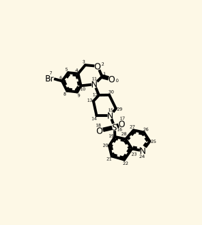 O=C1OCc2cc(Br)ccc2N1C1CCN(S(=O)(=O)c2cccc3ncccc23)CC1